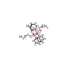 CCO[Si](OCC)(c1ccccc1)[Si](OCC)(c1ccccc1)c1ccccc1